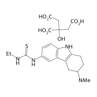 CCNC(=S)Nc1ccc2[nH]c3c(c2c1)CC(NC)CC3.O=C(O)CC(O)(CC(=O)O)C(=O)O